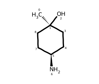 C[C@]1(O)CC[C@@H](N)CC1